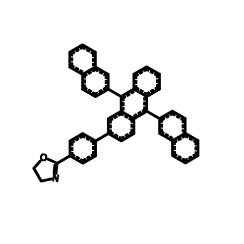 c1ccc2cc(-c3c4ccccc4c(-c4ccc5ccccc5c4)c4cc(-c5ccc(C6=NCCO6)cc5)ccc34)ccc2c1